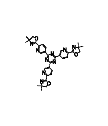 CC1(C)COC(c2ccc(-c3nc(-c4ccc(C5=NC(C)(C)CO5)nc4)nc(-c4ccc(C5=NC(C)(C)CO5)nc4)n3)cn2)=N1